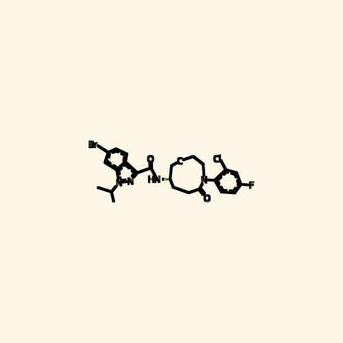 CC(C)n1nc(C(=O)N[C@@H]2CCCCN(c3ccc(F)cc3Cl)C(=O)CC2)c2ccc(Br)cc21